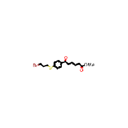 COC(=O)CCCCC(=O)c1ccc(SCCCBr)cc1